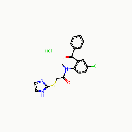 CN(C(=O)CSc1ncc[nH]1)c1ccc(Cl)cc1C(=O)c1ccccc1.Cl